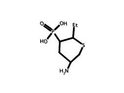 CCC1SCC(N)CC1P(=O)(O)O